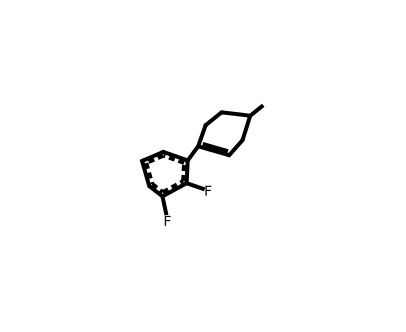 CC1CC=C(c2cccc(F)c2F)CC1